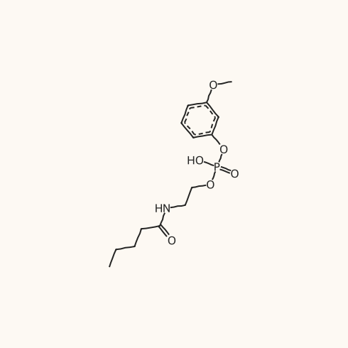 CCCCC(=O)NCCOP(=O)(O)Oc1cccc(OC)c1